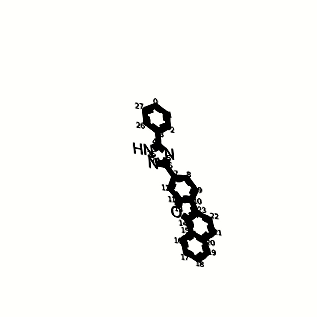 c1ccc(-c2nc(-c3ccc4c(c3)oc3c5ccccc5ccc43)n[nH]2)cc1